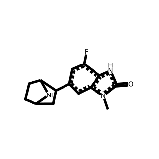 Cn1c(=O)[nH]c2c(F)cc(C3CC4CCC3N4)cc21